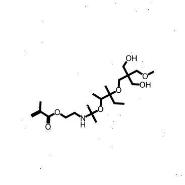 C=C(C)C(=O)OCCNC(C)(C)OC(C)C(C)(CC)OCC(CO)(CO)COC